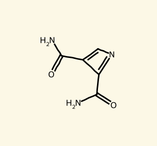 NC(=O)C1=CN=C1C(N)=O